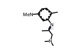 CNc1ccc(C)c(/N=C(\C)CN(C)C)c1